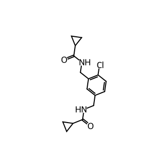 O=C(NCc1ccc(Cl)c(CNC(=O)C2CC2)c1)C1CC1